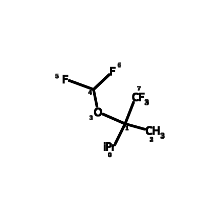 CC(C)C(C)(OC(F)F)C(F)(F)F